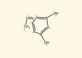 COC.Oc1cccc(O)c1